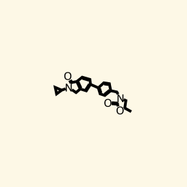 CC1CN(Cc2ccc(-c3ccc4c(c3)CN(C3CC3)C4=O)cc2)C(=O)O1